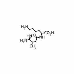 CN(CC(=O)N[C@@H](CCCCN)C(=O)O)C(=N)N